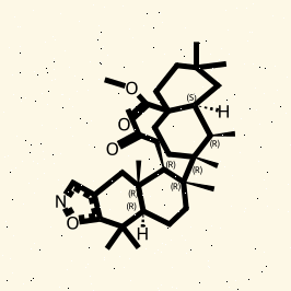 COC(=O)C12CCC(C)(C)C[C@H]1[C@@H](C)[C@](C)([C@]1(C)CC[C@H]3C(C)(C)c4oncc4C[C@]3(C)[C@H]1CC(C)=O)CC2